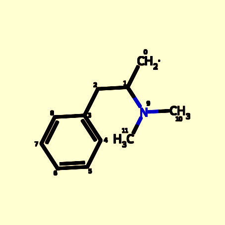 [CH2]C(Cc1ccccc1)N(C)C